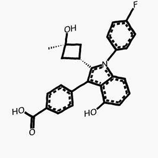 C[C@]1(O)C[C@H](c2c(-c3ccc(C(=O)O)cc3)c3c(O)cccc3n2-c2ccc(F)cc2)C1